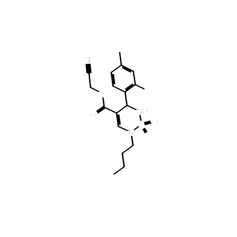 CCCCN1C=C(C(=O)OCC#N)C(c2ccc(C)cc2Cl)NS1(=O)=O